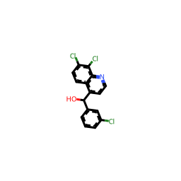 OC(c1cccc(Cl)c1)c1ccnc2c(Cl)c(Cl)ccc12